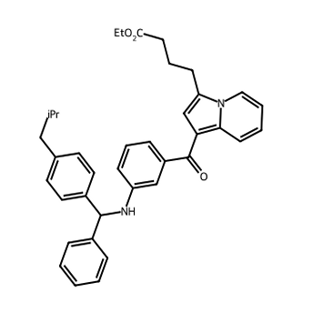 CCOC(=O)CCCc1cc(C(=O)c2cccc(NC(c3ccccc3)c3ccc(CC(C)C)cc3)c2)c2ccccn12